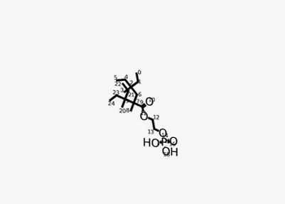 CCC(C)(CC)CC(C)(C(=O)OCCOP(=O)(O)O)C(C)(CC)CC